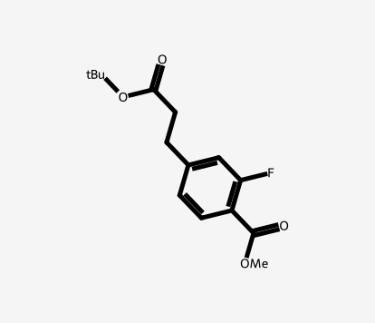 COC(=O)c1ccc(CCC(=O)OC(C)(C)C)cc1F